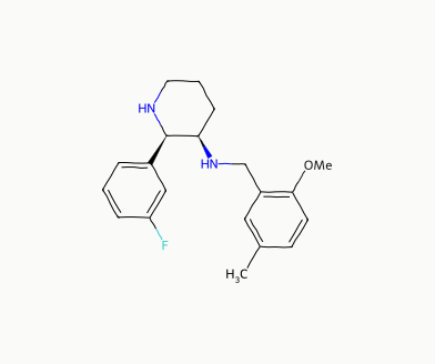 COc1ccc(C)cc1CN[C@@H]1CCCN[C@@H]1c1cccc(F)c1